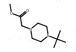 COC(=O)CN1CCN(C(C)(C)C)CC1